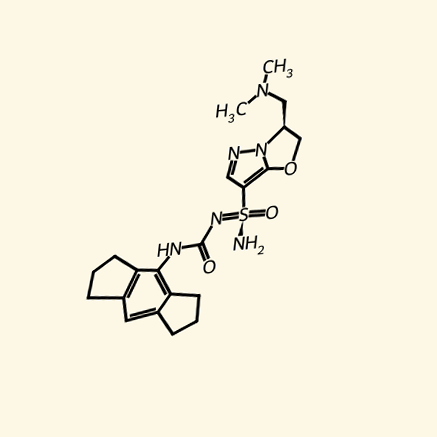 CN(C)C[C@H]1COc2c([S@](N)(=O)=NC(=O)Nc3c4c(cc5c3CCC5)CCC4)cnn21